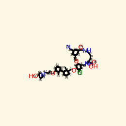 Cc1c(COc2cc3c(cc2Cl)CN[C@H](C(=O)O)CCCCNC(=O)c2cc(C#N)cc(c2)CO3)cccc1-c1cccc(OCCCN2CC[C@@H](O)C2)c1C